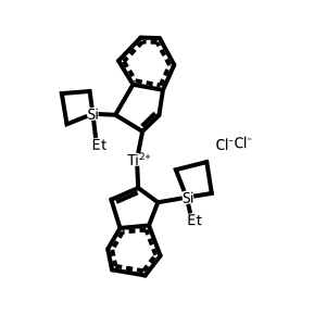 CC[Si]1(C2[C]([Ti+2][C]3=Cc4ccccc4C3[Si]3(CC)CCC3)=Cc3ccccc32)CCC1.[Cl-].[Cl-]